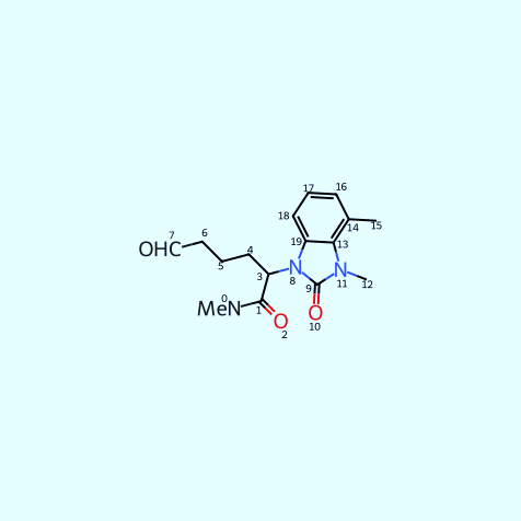 CNC(=O)C(CCCC=O)n1c(=O)n(C)c2c(C)cccc21